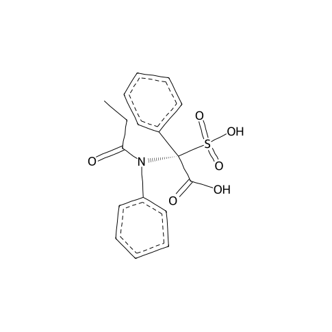 CCC(=O)N(c1ccccc1)[C@](C(=O)O)(c1ccccc1)S(=O)(=O)O